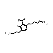 C=CCCCOc1ccc(CCC=C)c(F)c1C(F)F